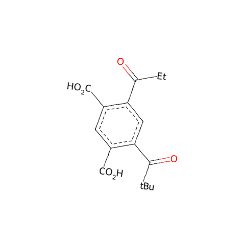 CCC(=O)c1cc(C(=O)C(C)(C)C)c(C(=O)O)cc1C(=O)O